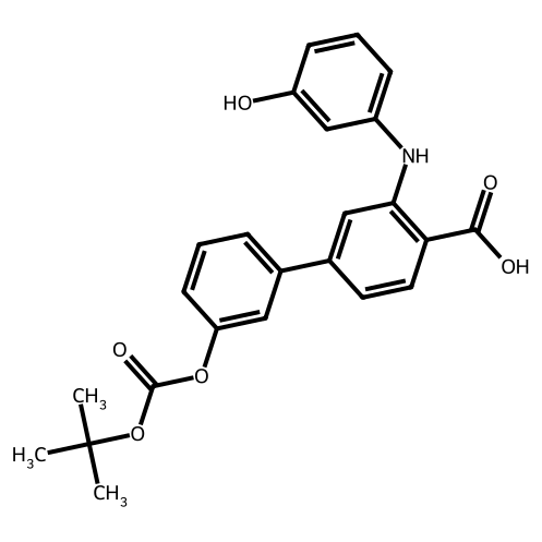 CC(C)(C)OC(=O)Oc1cccc(-c2ccc(C(=O)O)c(Nc3cccc(O)c3)c2)c1